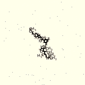 C=CC(=C1/OCC/C1=C(/C)NCc1cc(F)cc(C(=O)NC2CC3(CCN(CCOC)CC3)C2)c1)/C(C)=C/C=N\C(=C)N